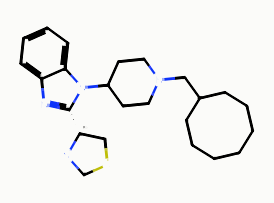 c1ccc2c(c1)nc([C@@H]1CSCN1)n2C1CCN(CC2CCCCCCC2)CC1